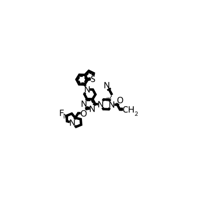 C=CC(=O)N1CCN(c2nc(OCC34CCCN3C[C@H](F)C4)nc3c2CCN(c2cccc4ccsc24)C3)C[C@@H]1CC#N